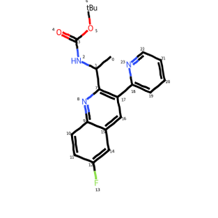 CC(NC(=O)OC(C)(C)C)c1nc2ccc(F)cc2cc1-c1ccccn1